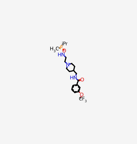 CC(C)P(C)ONCCN1CCC(CNC(=O)c2cccc(OC(F)(F)F)c2)CC1